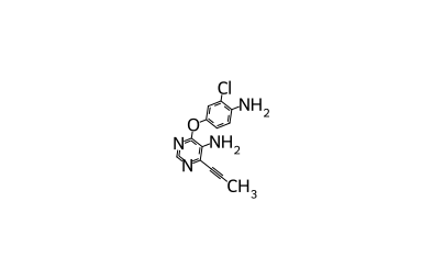 CC#Cc1ncnc(Oc2ccc(N)c(Cl)c2)c1N